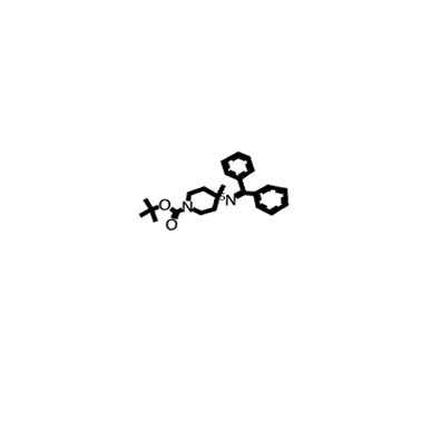 CC1([15N]=C(c2ccccc2)c2ccccc2)CCN(C(=O)OC(C)(C)C)CC1